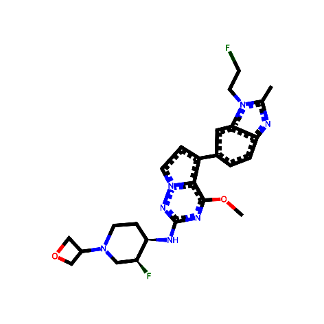 COc1nc(N[C@@H]2CCN(C3COC3)C[C@@H]2F)nn2ccc(-c3ccc4nc(C)n(CCF)c4c3)c12